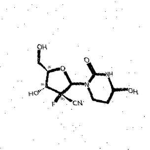 N#C[C@]1(F)C(N2CCC(O)NC2=O)O[C@H](CO)[C@H]1O